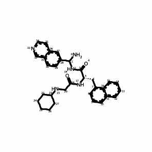 NC(NC(=O)[C@H](Cc1cccc2ccccc12)NC(=O)CNC1CCCCC1)c1ccc2cnccc2c1